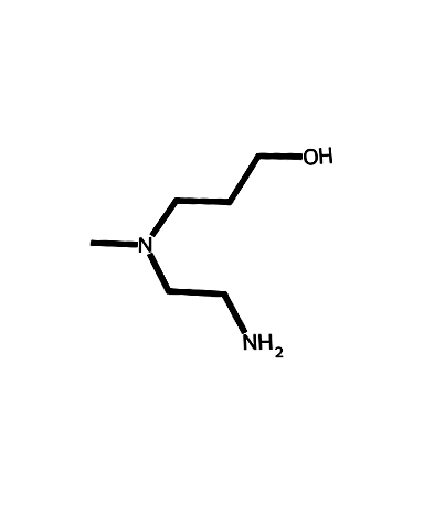 CN(CCN)CCCO